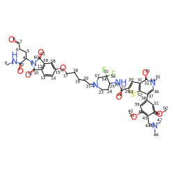 CNC(=O)C(CCC=O)N1C(=O)c2ccc(OCCCCCN3CCC(NC(=O)c4cc5c(=O)n(C)cc(-c6cc(OC)c(CN(C)C)c(OC)c6)c5s4)C(F)(F)C3)cc2C1=O